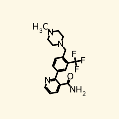 CN1CCN(Cc2ccc(-c3ncccc3C(N)=O)cc2C(F)(F)F)CC1